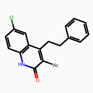 CC(=O)c1c(CCc2ccccc2)c2cc(Cl)ccc2[nH]c1=O